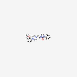 CC1(C)Cc2cccc(N3CCN(CCN4CCN(c5ccccc5)C4=O)CC3)c2O1